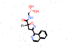 CC(C)C1(C(=O)NCB(O)O)CC(c2nccc3ccccc23)=NO1